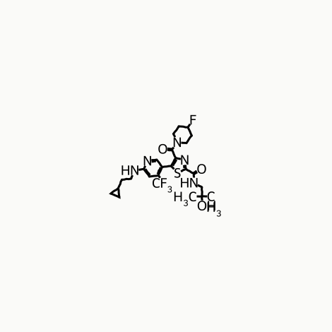 CC(C)(O)CNC(=O)c1nc(C(=O)N2CCC(F)CC2)c(-c2cnc(NCCC3CC3)cc2C(F)(F)F)s1